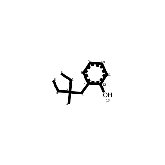 CCC(C)(CC)Cc1ccccc1O